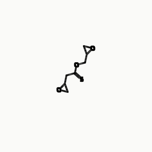 S=C(CC1CO1)OCC1CO1